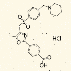 Cc1oc(-c2ccc(C(=O)O)cc2)nc1CS(=O)(=O)c1ccc(CN2CCCCC2)cc1.Cl